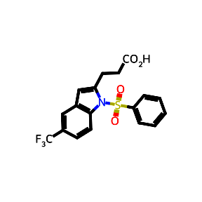 O=C(O)CCc1cc2cc(C(F)(F)F)ccc2n1S(=O)(=O)c1ccccc1